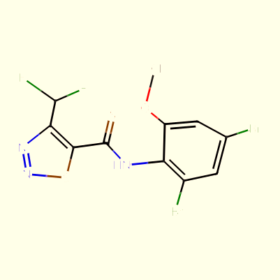 FC(F)c1nnsc1C(=S)Nc1c(Br)cc(Br)cc1OC(F)(F)F